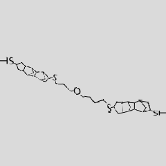 SC1CC2C(C1)C1CC2C2C3CC(SCCCOCCCCSC4CC5C(C4)C4CC5C5C6CC(S)C(C6)C45)C(C3)C12